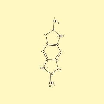 CC1Cc2cc3c(cc2N1)CC(C)N3